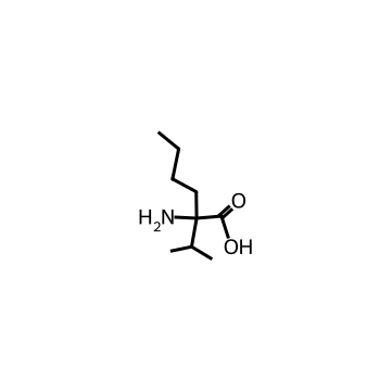 CCCCC(N)(C(=O)O)C(C)C